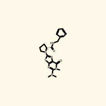 CN(C)c1nc2sc(N3CCC[C@@H]3C(=O)NCc3ccccc3)nc2c(=O)n1C